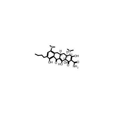 CCCCc1cc(N(C)C)c2c(c1O)C(=O)C1=C(O)[C@]3(O)C(=O)C(C(N)=O)=C(O)[C@@H](N(C)C)[C@@H]3C[C@@H]1C2